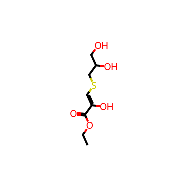 CCOC(=O)C(O)=CSCC(O)CO